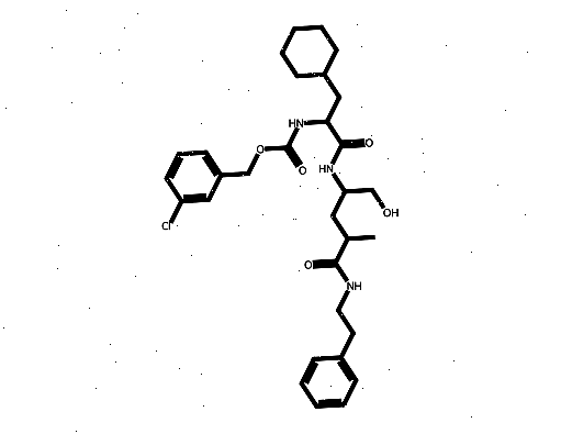 CC(CC(CO)NC(=O)C(CC1CCCCC1)NC(=O)OCc1cccc(Cl)c1)C(=O)NCCc1ccccc1